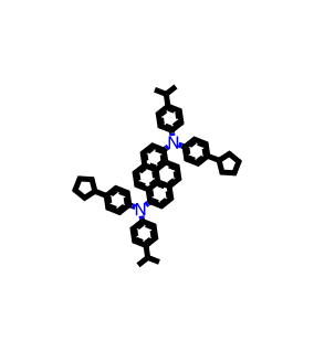 CC(C)c1ccc(N(c2ccc(C3CCCC3)cc2)c2ccc3ccc4c(N(c5ccc(C(C)C)cc5)c5ccc(C6CCCC6)cc5)ccc5ccc2c3c54)cc1